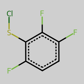 Fc1ccc(F)c(SCl)c1F